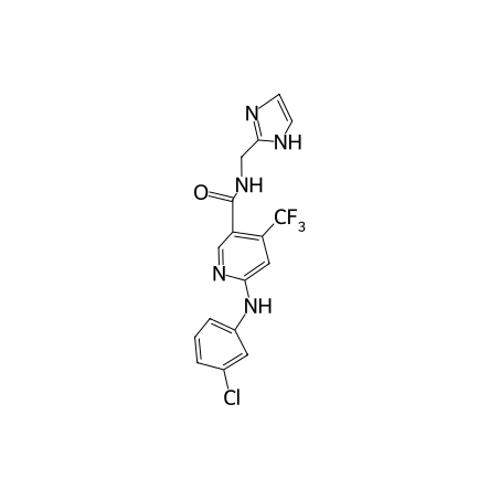 O=C(NCc1ncc[nH]1)c1cnc(Nc2cccc(Cl)c2)cc1C(F)(F)F